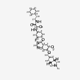 COc1cc2c(Oc3ccc(NC(=O)C(=O)NCCc4ccccc4)cc3F)ncnc2cc1OCC1C[C@@H]2CN(C)C[C@@H]2C1